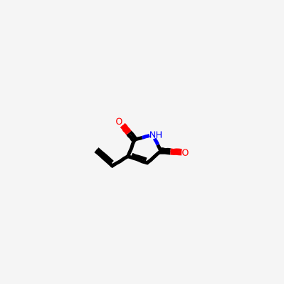 C=CC1=CC(=O)NC1=O